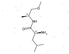 COC[C@H](C)NC(=O)[C@@H](N)CC(C)C